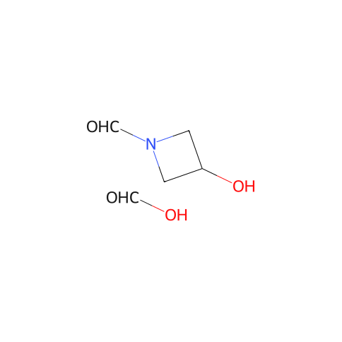 O=CN1CC(O)C1.O=CO